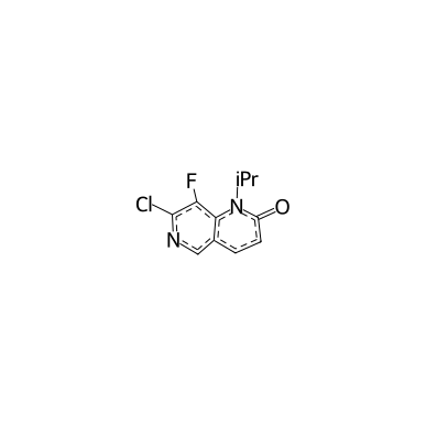 CC(C)n1c(=O)ccc2cnc(Cl)c(F)c21